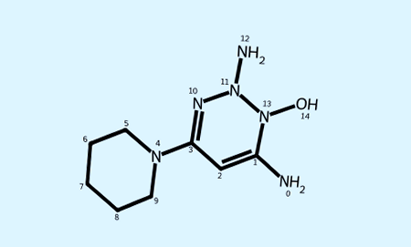 NC1=CC(N2CCCCC2)=NN(N)N1O